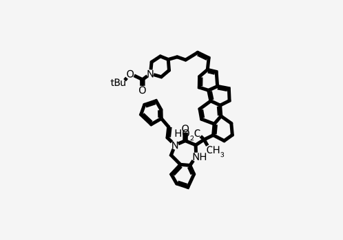 CC(C)(C)OC(=O)N1CCC(CC/C=C\c2ccc3c(c2)=CCc2c4c(ccc2=3)=C(C(C)(C(=O)O)C2Nc3ccccc3CN(C=Cc3ccccc3)C2=O)CCC4)CC1